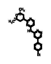 CCc1ccc(-c2cnnc(Nc3ccnc(N4C[C@@H](C)O[C@@H](C)C4)n3)c2)cc1